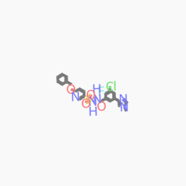 Cn1cnc(-c2cc(Cl)c(F)c(C(=O)NNS(=O)(=O)c3ccc(OCc4ccccc4)nc3)c2)c1